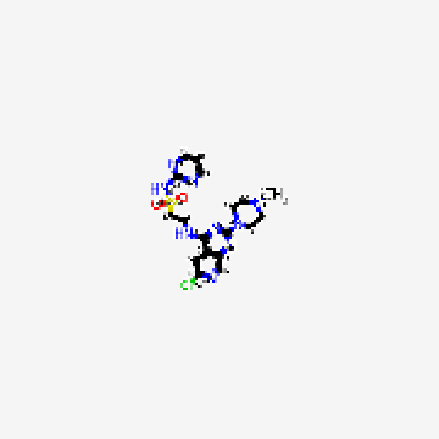 CN1CCN(c2nc(NCCS(=O)(=O)Nc3ncccn3)c3cc(Cl)ncc3n2)CC1